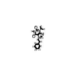 CC(C)n1c(=O)n(C)c(=O)c2c1ncn2CCc1ccccc1